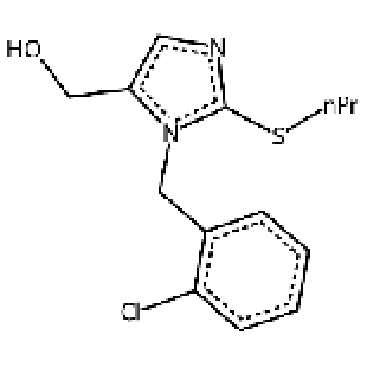 CCCSc1ncc(CO)n1Cc1ccccc1Cl